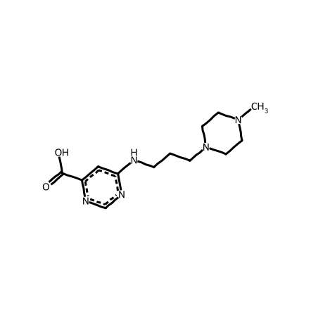 CN1CCN(CCCNc2cc(C(=O)O)ncn2)CC1